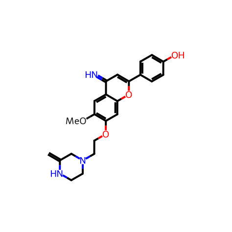 C=C1CN(CCOc2cc3oc(-c4ccc(O)cc4)cc(=N)c3cc2OC)CCN1